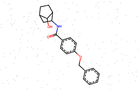 O=C(NC1CC2CCC1C2O)c1ccc(OCc2ccccc2)cc1